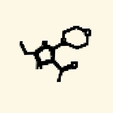 CCc1nc(C(C)=O)c(N2CCOCC2)s1